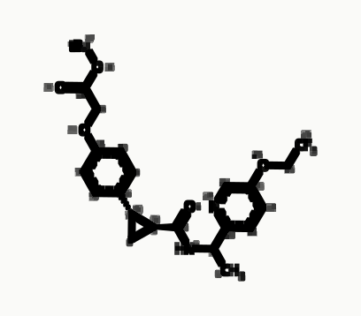 CC(NC(=O)[C@H]1C[C@@H]1c1ccc(OCC(=O)OC(C)(C)C)cc1)c1ccc(OCC(F)(F)F)cn1